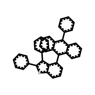 c1ccc(-c2oc3cccc(-c4c5ccccc5c(-c5ccccc5)c5ccccc45)c3c2-c2ccccc2)cc1